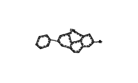 Brc1cc2ccc3cc(-c4ccccc4)cc4[nH]c(c1)c2c34